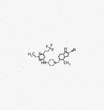 C=Cc1nc(CCC(F)(F)F)cc(NC2CCN(Cc3ccc4[nH]c(C#N)cc4c3C)CC2)n1